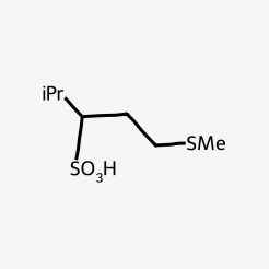 CSCCC(C(C)C)S(=O)(=O)O